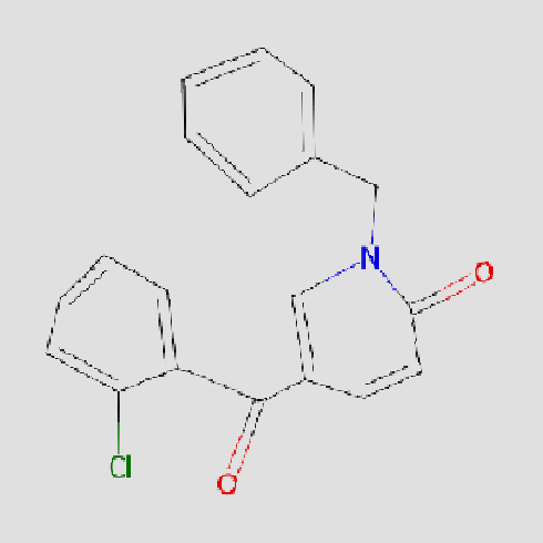 O=C(c1ccc(=O)n(Cc2ccccc2)c1)c1ccccc1Cl